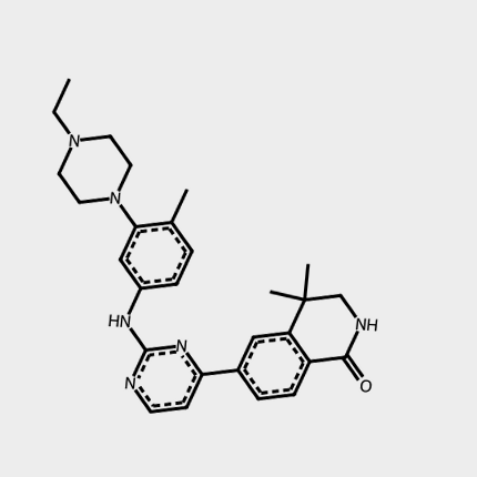 CCN1CCN(c2cc(Nc3nccc(-c4ccc5c(c4)C(C)(C)CNC5=O)n3)ccc2C)CC1